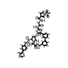 Cc1ncsc1-c1ccc(CNC(=O)[C@@H]2C[C@@H](O)CN2C(=O)[C@@H](NCc2cccc(-c3cccc(-c4csc(NC(=O)CNC(=O)c5ccn(S(C)(=O)=O)c5)n4)c3)c2)C(C)(C)C)cc1